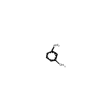 Cc1cc[c]c(P)c1